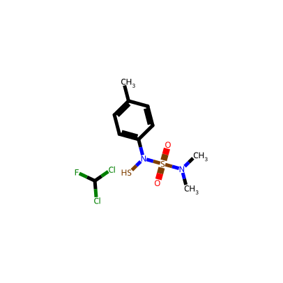 Cc1ccc(N(S)S(=O)(=O)N(C)C)cc1.FC(Cl)Cl